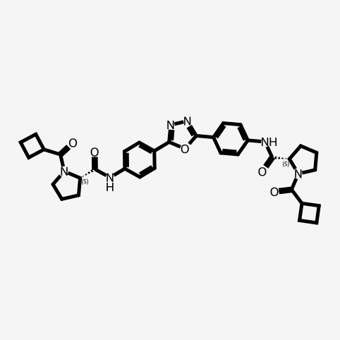 O=C(Nc1ccc(-c2nnc(-c3ccc(NC(=O)[C@@H]4CCCN4C(=O)C4CCC4)cc3)o2)cc1)[C@@H]1CCCN1C(=O)C1CCC1